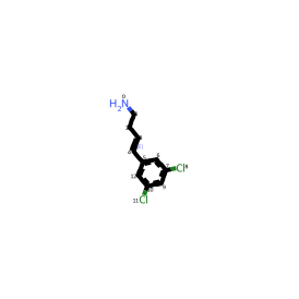 NCC/C=C/c1cc(Cl)cc(Cl)c1